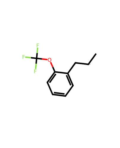 C[CH]Cc1ccccc1OC(F)(F)F